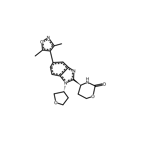 Cc1noc(C)c1-c1ccc2c(c1)nc([C@@H]1CCOC(=O)N1)n2[C@@H]1CCOC1